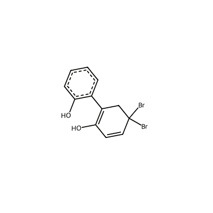 OC1=C(c2ccccc2O)CC(Br)(Br)C=C1